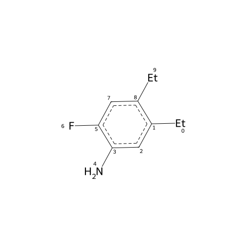 [CH2]Cc1cc(N)c(F)cc1CC